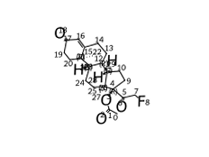 CC(=O)O[C@]1(C(=O)CF)CC[C@H]2[C@@H]3CCC4=CC(=O)CC[C@]4(C)[C@H]3CC[C@@]21C